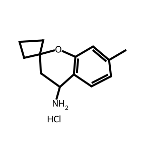 Cc1ccc2c(c1)OC1(CCC1)CC2N.Cl